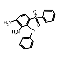 Nc1ccc(S(=O)(=O)c2ccccc2)c(Oc2ccccc2)c1N